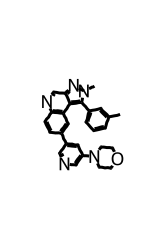 Cc1cccc(-c2c3c(cnc4ccc(-c5cncc(N6CCOCC6)c5)cc43)nn2C)c1